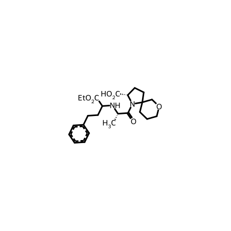 CCOC(=O)C(CCc1ccccc1)N[C@@H](C)C(=O)N1[C@H](C(=O)O)CCC12CCCOC2